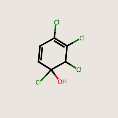 OC1(Cl)C=CC(Cl)=C(Cl)C1Cl